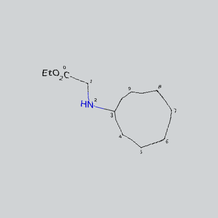 CCOC(=O)CNC1CCCCCC1